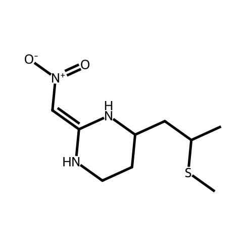 CSC(C)CC1CCNC(=C[N+](=O)[O-])N1